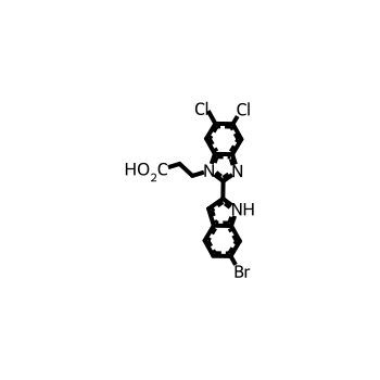 O=C(O)CCn1c(-c2cc3ccc(Br)cc3[nH]2)nc2cc(Cl)c(Cl)cc21